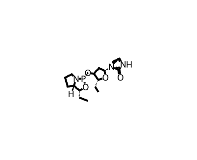 CC[C@H]1O[C@@H](n2cc[nH]c2=O)CC1O[P@@]1O[C@H](CC)[C@@H]2CCCN21